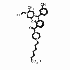 CCOC(=O)CCCCCCN1CCN(C(=O)c2cccc([C@H](c3cccc(O)c3)N3C[C@@H](C)N(CC(C)CC)C[C@@H]3C)c2)CC1